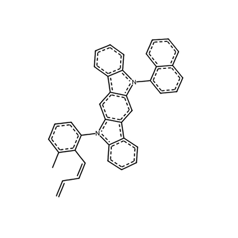 C=C/C=C\c1c(C)cccc1-n1c2ccccc2c2cc3c(cc21)c1ccccc1n3-c1cccc2ccccc12